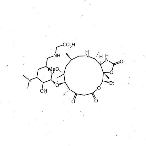 CC[C@H]1OC(=O)CC(=O)[C@H](C)[C@@H](O[C@@H]2OC(CNCC(=O)O)CC(N(C)C)C2O)[C@](C)(OC)C[C@@H](C)CN[C@H](C)[C@H]2NC(=O)O[C@@]21C